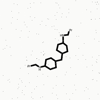 CC(C)CNC1CCC(CC2CCC(NCC(C)C)CC2)CC1